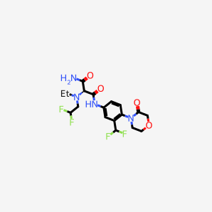 CCN(CC(F)F)[C@@H](C(N)=O)C(=O)Nc1ccc(N2CCOCC2=O)c(C(F)F)c1